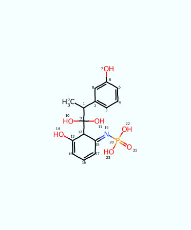 CC(c1cccc(O)c1)C(O)(O)C1C(O)=CC=C/C1=N\P(=O)(O)O